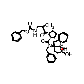 CC(CNC(=O)OCc1ccccc1)C(=O)N1CCC[C@H]1C(=O)N(Cc1ccccc1)[C@](CCC(=O)O)(Cc1ccccc1)C(=O)O